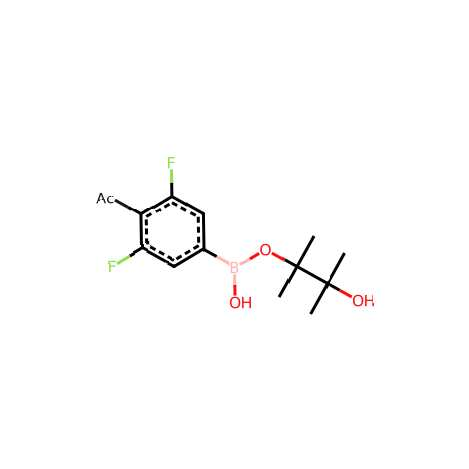 CC(=O)c1c(F)cc(B(O)OC(C)(C)C(C)(C)O)cc1F